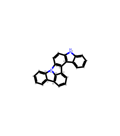 c1ccc2c(c1)[nH]c1ccc3c(c4cccc5c6ccccc6n3c54)c12